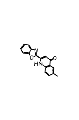 Cc1ccc2[nH]c(-c3nc4ccccc4o3)cc(=O)c2c1